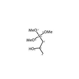 CO[Si](CC(C)O)(OC)OC